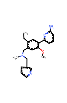 CCc1cc(-c2cccc(N)n2)c(OC)cc1CN(C)Cc1cccnc1